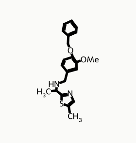 COc1cc(CNC(C)c2ncc(C)s2)ccc1OCc1ccccc1